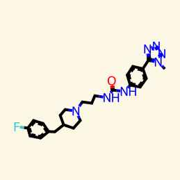 Cn1nnnc1-c1ccc(NC(=O)NCCCN2CCC(Cc3ccc(F)cc3)CC2)cc1